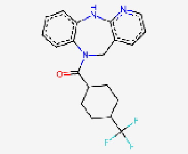 O=C(C1CCC(C(F)(F)F)CC1)N1Cc2cccnc2Nc2ccccc21